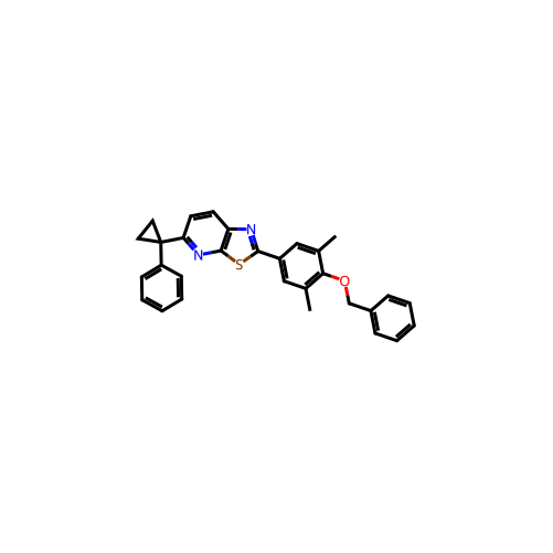 Cc1cc(-c2nc3ccc(C4(c5ccccc5)CC4)nc3s2)cc(C)c1OCc1ccccc1